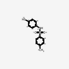 Cc1ccc(S(=O)(=O)Nc2ccc(S)cc2)cc1